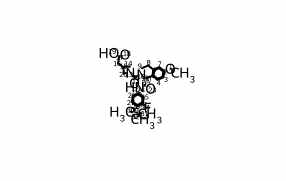 COc1ccc2c(c1)CCN(C(=O)N1CC(CC(=O)O)C1)[C@H]2C(=O)Nc1ccc(S(C)(C)C)c(F)c1